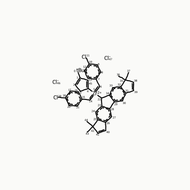 CC(C)(C)C1=CC[C]([Zr+2](=[CH]c2ccc(Cl)cc2)(=[CH]c2ccc(Cl)cc2)[CH]2c3cc4c(cc3-c3cc5c(cc32)C(C)(C)C=C5)C=CC4(C)C)=C1.[Cl-].[Cl-]